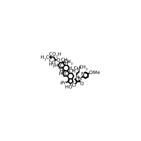 COc1ccc(-n2c(=O)c(Cl)c([C@@]34CC[C@]5(C)C(CC[C@@H]6[C@@]7(C)CC[C@H](OC(=O)CC(C)(C)C(=O)O)C(C)(C)[C@@H]7CC[C@]65C)C3=C(C(C)C)[C@@H](O)C4)n2CCN(C)C)nc1